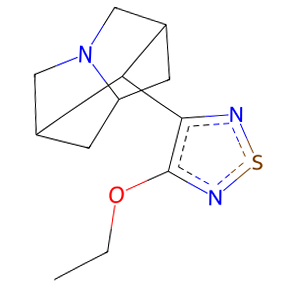 CCOc1nsnc1C1C2CC3CC1CN3C2